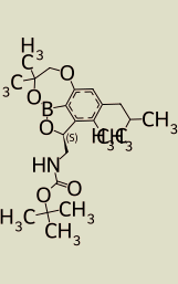 Cc1c(CC(C)C)cc2c3c1[C@@H](CNC(=O)OC(C)(C)C)OB3OC(C)(C)CO2